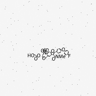 CNC(=O)c1c(-c2ccc(Oc3ccc(F)cc3)cc2)oc2cc3c(cc12)[C@H](C)O[C@H](COC(=O)CO)CN3S(C)(=O)=O